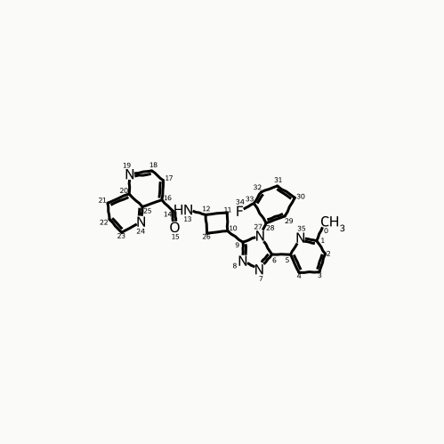 Cc1cccc(-c2nnc(C3CC(NC(=O)c4ccnc5cccnc45)C3)n2-c2ccccc2F)n1